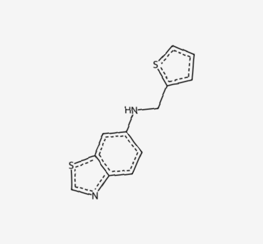 c1csc(CNc2ccc3ncsc3c2)c1